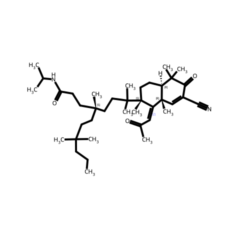 CCCC(C)(C)CC[C@](C)(CCC(=O)NC(C)C)CCC(C)(C)[C@]1(C)CC[C@H]2C(C)(C)C(=O)C(C#N)=C[C@]2(C)/C1=C/C(C)=O